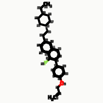 C=CCOc1ccc(-c2ccc3cc(CC[C@H]4CC[C@H](CC)CC4)ccc3c2F)cc1